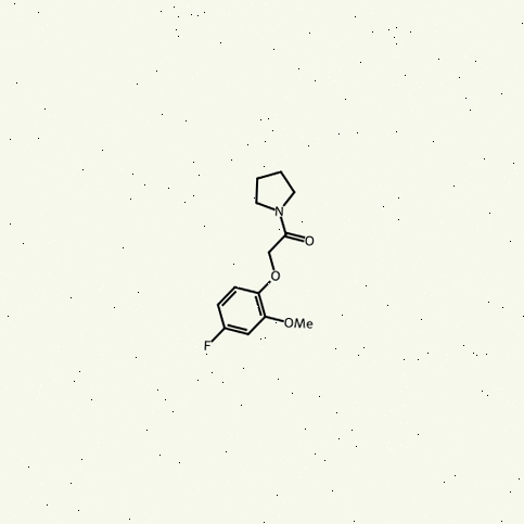 COc1cc(F)ccc1OCC(=O)N1CCCC1